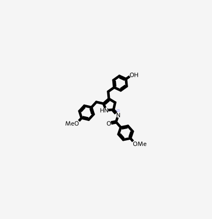 COc1ccc(CC2=C(Cc3ccc(O)cc3)C/C(=N/C(=O)c3ccc(OC)cc3)N2)cc1